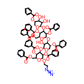 [N-]=[N+]=NCCO[C@@H]1OC(COC(=O)c2ccccc2)[C@@H](OC(=O)c2ccccc2)C(O[C@H]2OC[C@@H](OC(=O)c3ccccc3)C(O[C@@H]3OC(COC(=O)c4ccccc4)[C@@H](OC(=O)c4ccccc4)C(O[C@H]4OC[C@@H](OC(=O)c5ccccc5)C(O)C4O)C3OC(=O)c3ccccc3)C2O)C1OC(=O)c1ccccc1